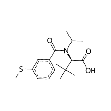 CSc1cccc(C(=O)N(C(C)C)[C@@H](C(=O)O)C(C)(C)C)c1